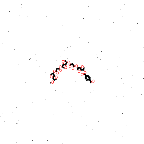 CO[C@H]1COC2C1OC[C@H]2OC(=O)CC(=O)O[C@H]1COC2C1OC[C@H]2OC(=O)CC(=O)O[C@H]1COC2C1OC[C@H]2OC(=O)c1ccc(C(C)=O)cc1